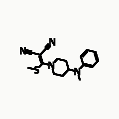 CSC(=C(C#N)C#N)N1CCC(N(C)c2ccccc2)CC1